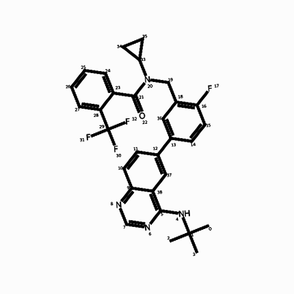 CC(C)(C)Nc1ncnc2ccc(-c3ccc(F)c(CN(C(=O)c4ccccc4C(F)(F)F)C4CC4)c3)cc12